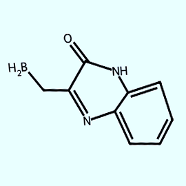 BCc1nc2ccccc2[nH]c1=O